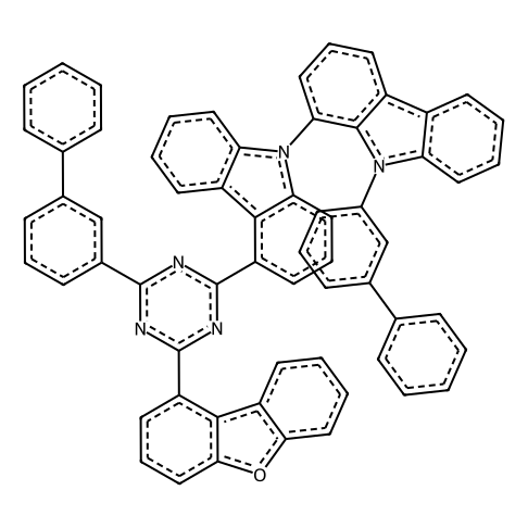 c1ccc(-c2cccc(-c3nc(-c4cccc5oc6ccccc6c45)nc(-c4cccc5c4c4ccccc4n5-c4cccc5c6ccccc6n(-c6cccc(-c7ccccc7)c6)c45)n3)c2)cc1